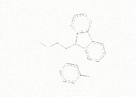 Cc1ccccc1.O=S(=O)(O)OCCC1c2ccccc2-c2ccccc21